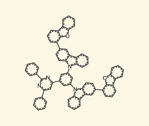 c1ccc(-c2cc(-c3cc(-n4c5ccccc5c5cc(-c6cccc7c6oc6ccccc67)ccc54)cc(-n4c5ccccc5c5cc(-c6cccc7c6oc6ccccc67)ccc54)c3)nc(-c3ccccc3)n2)cc1